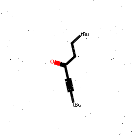 CC(C)(C)C#CC(=O)CCC(C)(C)C